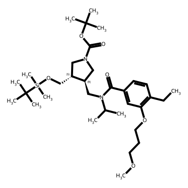 CCc1ccc(C(=O)N(C[C@@H]2CN(C(=O)OC(C)(C)C)C[C@H]2CO[Si](C)(C)C(C)(C)C)C(C)C)cc1OCCCOC